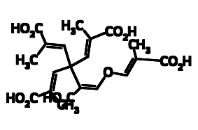 CC(=COC=C(C(=O)O)C(C=C(C)C(=O)O)(C=C(C)C(=O)O)C=C(C)C(=O)O)C(=O)O